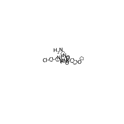 NC1CCN(C(=O)C(NS(=O)(=O)c2ccc3cc(OC4CCCC4)ccc3c2)C(F)(F)c2ccc(-c3ccc(Cl)cc3)cn2)CC1